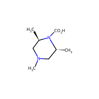 C[C@@H]1CN(C)C[C@@H](C)N1C(=O)O